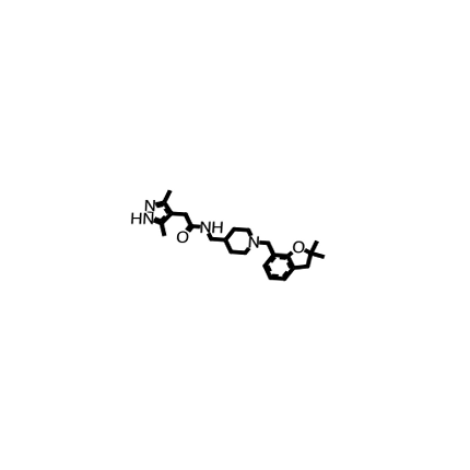 Cc1n[nH]c(C)c1CC(=O)NCC1CCN(Cc2cccc3c2OC(C)(C)C3)CC1